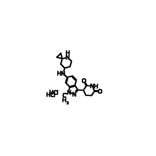 Cl.Cl.Cn1nc(C2CCC(=O)NC2=O)c2ccc(NC3CCNC4(CC4)C3)cc21